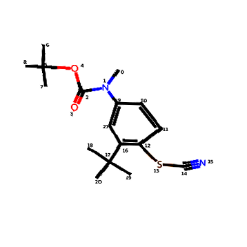 CN(C(=O)OC(C)(C)C)c1ccc(SC#N)c(C(C)(C)C)c1